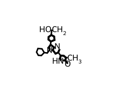 C=C(O)c1ccc(-c2cn(CC3CCCCC3)c3cc(-c4c[nH]c(=O)c(C)c4)cnc23)cc1